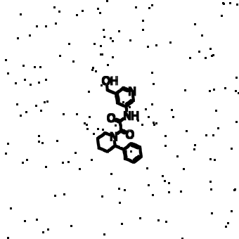 O=C(Nc1cncc(CO)c1)C(=O)N1CCCCC1c1ccccc1